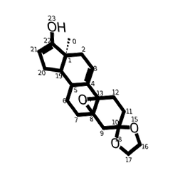 C[C@]12CC=C3C(CCC45CC6(CCC34O5)OCCO6)C1CC=C2O